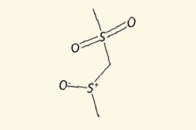 C[S+]([O-])CS(C)(=O)=O